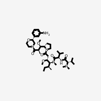 CC[C@H](C)[C@@H]([C@@H](CC(=O)N1CCC[C@H]1[C@H](OC)[C@@H](C)C(=O)N1CCO[C@H](c2cccc(N)c2)C1)OC)N(C)C(=O)[C@@H](NC(=O)[C@H](C(C)C)N(C)C)C(C)C